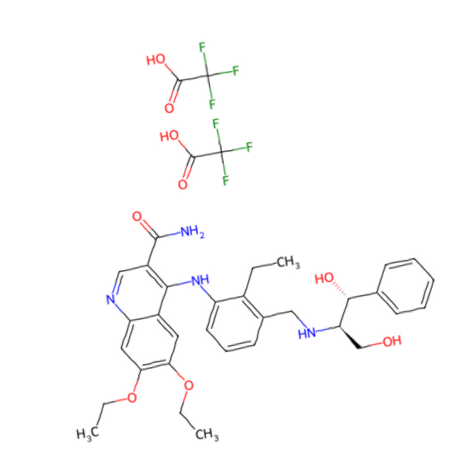 CCOc1cc2ncc(C(N)=O)c(Nc3cccc(CN[C@H](CO)[C@H](O)c4ccccc4)c3CC)c2cc1OCC.O=C(O)C(F)(F)F.O=C(O)C(F)(F)F